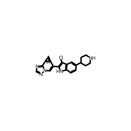 Clc1c(C2=Cn3ncnc3[C@@H]3C=C23)[nH]c2ccc(C3CCNCC3)cc12